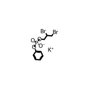 O=P([O-])(OCC(Br)CBr)Oc1ccccc1.[K+]